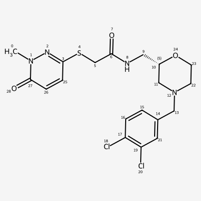 Cn1nc(SCC(=O)NC[C@H]2CN(Cc3ccc(Cl)c(Cl)c3)CCO2)ccc1=O